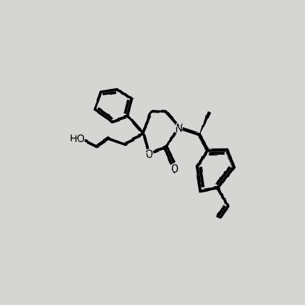 C=Cc1ccc([C@H](C)N2CCC(CCCO)(c3ccccc3)OC2=O)cc1